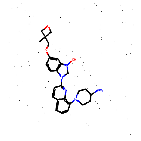 CC1(COc2ccc3c(c2)N(O)CN3c2ccc3cccc(N4CCC(N)CC4)c3n2)COC1